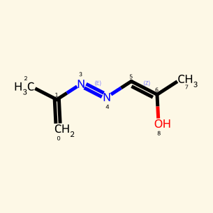 C=C(C)/N=N/C=C(/C)O